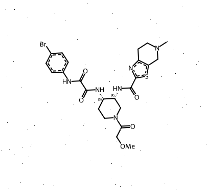 COCC(=O)N1CC[C@H](NC(=O)C(=O)Nc2ccc(Br)cc2)[C@H](NC(=O)c2nc3c(s2)CN(C)CC3)C1